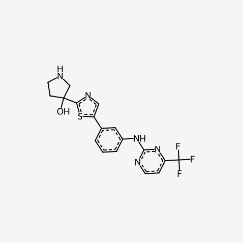 OC1(c2ncc(-c3cccc(Nc4nccc(C(F)(F)F)n4)c3)s2)CCNC1